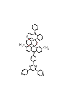 Cc1ccc2c(c1)C1(c3cc(C)ccc3N2c2ccc(-c3nc(-c4ccncc4)cc(-c4ccncc4)n3)cc2)c2ccccc2C2(c3ccccc3N(c3ccccc3)c3ccccc32)c2ccccc21